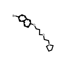 Brc1ccc2cc(OCCCOCCN3CCCC3)ccc2c1